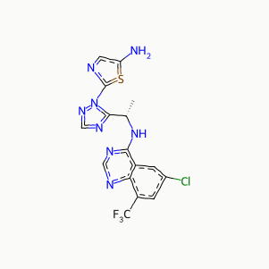 C[C@H](Nc1ncnc2c(C(F)(F)F)cc(Cl)cc12)c1ncnn1-c1ncc(N)s1